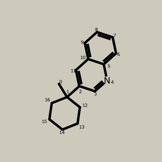 CC1(c2cnc3ccccc3c2)CCCCC1